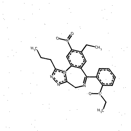 CCCc1nnc2n1-c1cc([N+](=O)[O-])c(CC)cc1C(c1ccccc1[S+]([O-])CC)=NC2